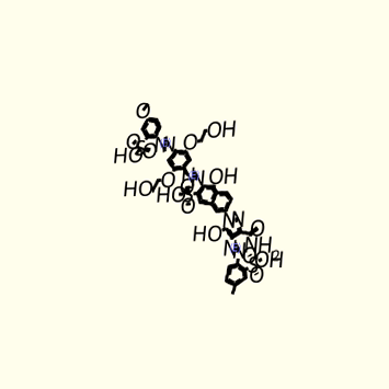 COc1ccc(/N=N/c2cc(OCCO)c(/N=N/c3c(S(=O)(=O)O)cc4cc(-n5nc(C(N)=O)c(/N=N/c6ccc(C)cc6S(=O)(=O)O)c5O)ccc4c3O)cc2OCCO)c(S(=O)(=O)O)c1